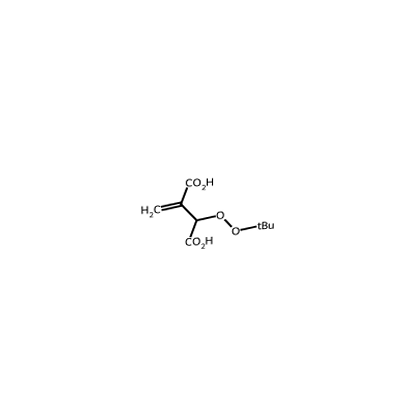 C=C(C(=O)O)C(OOC(C)(C)C)C(=O)O